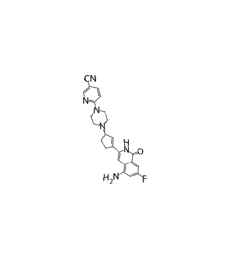 N#Cc1ccc(N2CCN([C@H]3C=C(c4cc5c(N)cc(F)cc5c(=O)[nH]4)CC3)CC2)nc1